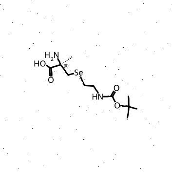 CC(C)(C)OC(=O)NCC[Se]C[C@](C)(N)C(=O)O